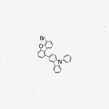 Brc1cccc2c1oc1cccc(-c3ccc4c(c3)c3ccccc3n4-c3ccccc3)c12